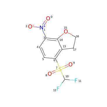 O=[N+]([O-])c1ccc(S(=O)(=O)C(F)F)c2c1OCC2